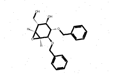 OC[C@@H]1[C@@H](O)[C@H](OCc2ccccc2)[C@@H](OCc2ccccc2)[C@H]2O[C@@H]12